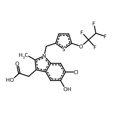 Cc1c(CC(=O)O)c2cc(O)c(Cl)cc2n1Cc1ccc(OC(F)(F)C(F)F)s1